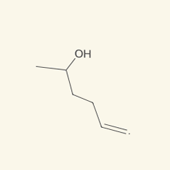 [CH]=CCCC(C)O